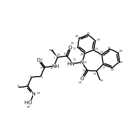 CC(CCC(=O)N[C@@H](C)C(=O)NN1C(=O)C(C)c2ccccc2-c2ccccc21)=NO